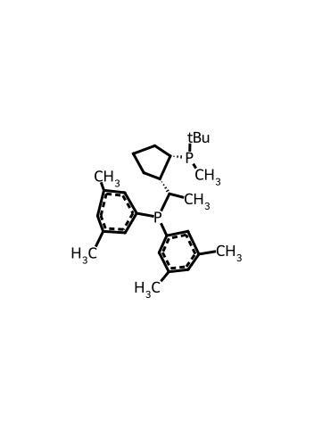 Cc1cc(C)cc(P(c2cc(C)cc(C)c2)C(C)[C@@H]2CCC[C@@H]2P(C)C(C)(C)C)c1